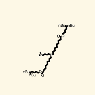 CCCCC(CCCC)CCCCOC(=O)CCCCCCCCCP(CCCCCCCCCC(=O)OCCCCC(CCCC)CCCC)CCCCN(C)C